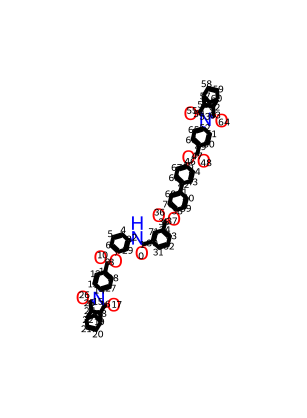 O=C(Nc1cccc(OC(=O)c2ccc(N3C(=O)C4C5C=CC(C5)C4C3=O)cc2)c1)c1cccc(C(=O)Oc2ccc(-c3ccc(OC(=O)c4ccc(N5C(=O)C6C7C=CC(C7)C6C5=O)cc4)cc3)cc2)c1